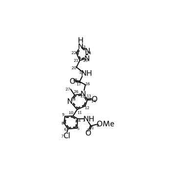 COC(=O)Nc1cc(Cl)ccc1-c1cc(=O)n(CC(=O)NCc2c[nH]nn2)c(C)n1